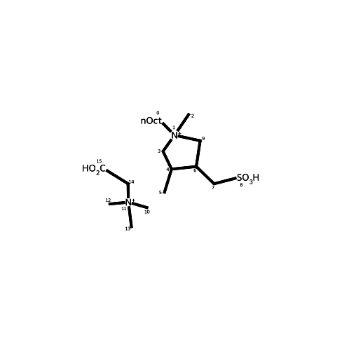 CCCCCCCC[N+]1(C)CC(C)C(CS(=O)(=O)O)C1.C[N+](C)(C)CC(=O)O